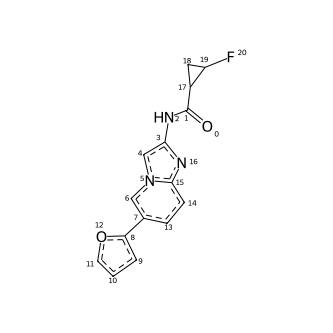 O=C(Nc1cn2cc(-c3ccco3)ccc2n1)C1CC1F